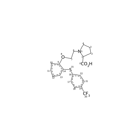 O=C(O)C1CCCN1CCOc1ccccc1Sc1ccc(C(F)(F)F)cc1